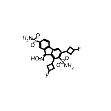 NS(=O)(=O)c1ccc2c(c1)C(=NO)c1c-2cc(C2CC(F)C2)c(S(N)(=O)=O)c1C1CC(F)C1